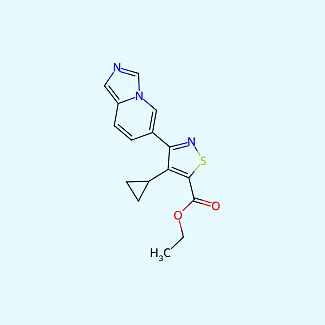 CCOC(=O)c1snc(-c2ccc3cncn3c2)c1C1CC1